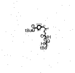 CC(CCC(=O)NOC(=O)NCC(C)(C)C)Cc1ccc(C(=O)OC(C)(C)C)cc1